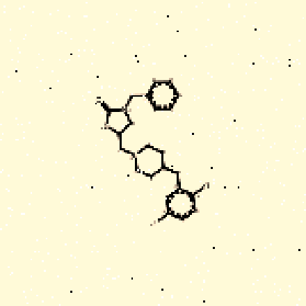 O=C1SC(CN2CCC(Cc3cc(F)ccc3Cl)CC2)CN1Cc1ccccc1